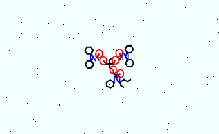 CCCC(CC)N(C(=O)COCC(CC)(COCC(=O)N(C1CCCCC1)C1CCCCC1)COCC(=O)N(C1CCCCC1)C1CCCCC1)C1CCCCC1